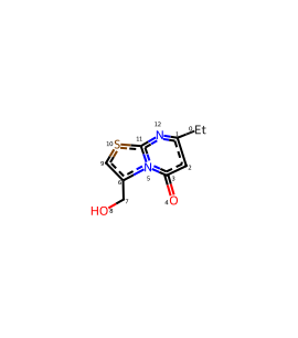 CCc1cc(=O)n2c(CO)csc2n1